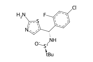 CC(C)(C)[S@@+]([O-])N[C@H](c1cnc(N)s1)c1ccc(Cl)cc1F